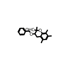 Cc1cc(C)c2c(c1C)OC(C)(C=O)C(OCc1ccccc1)C2